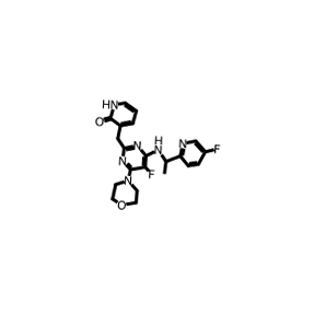 CC(Nc1nc(Cc2ccc[nH]c2=O)nc(N2CCOCC2)c1F)c1ccc(F)cn1